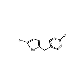 Clc1ccc(CC2=CC=C(Br)CN2)cc1